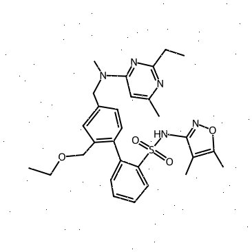 CCOCc1cc(CN(C)c2cc(C)nc(CC)n2)ccc1-c1ccccc1S(=O)(=O)Nc1noc(C)c1C